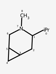 CC(C)C1CC2CC2CN1C